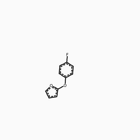 Fc1ccc(Oc2ccco2)cc1